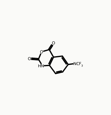 O=c1[nH]c2ccc(NC(F)(F)F)cc2c(=O)o1